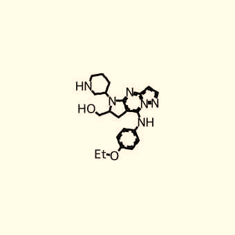 CCOc1ccc(Nc2c3c(nc4ccnn24)N(C2CCCNC2)C(CO)C3)cc1